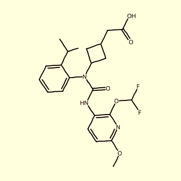 COc1ccc(NC(=O)N(c2ccccc2C(C)C)C2CC(CC(=O)O)C2)c(OC(F)F)n1